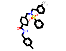 Cc1ccc(CNC(=O)C2CCC(CN(Cc3cccc(C(F)(F)F)c3)S(=O)(=O)c3ccccc3)CC2)cc1